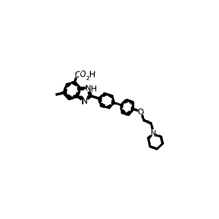 Cc1cc(C(=O)O)c2[nH]c(-c3ccc(-c4ccc(OCCN5CCCCC5)cc4)cc3)nc2c1